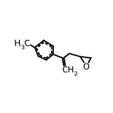 C=C(CC1CO1)c1ccc(C)cc1